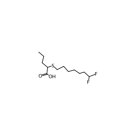 CCCC(SCCCCCCC(F)F)C(=O)O